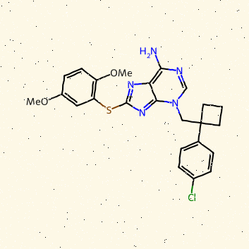 COc1ccc(OC)c(Sc2nc3c(N)ncn(CC4(c5ccc(Cl)cc5)CCC4)c-3n2)c1